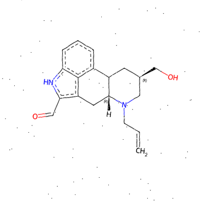 C=CCN1C[C@H](CO)CC2c3cccc4[nH]c(C=O)c(c34)C[C@H]21